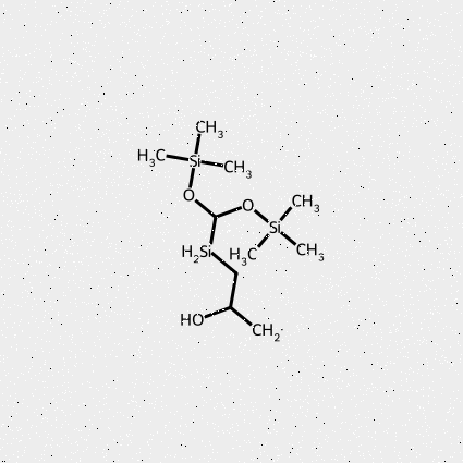 [CH2]C(O)C[SiH2]C(O[Si](C)(C)C)O[Si](C)(C)C